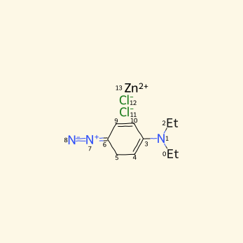 CCN(CC)C1=CCC(=[N+]=[N-])C=C1.[Cl-].[Cl-].[Zn+2]